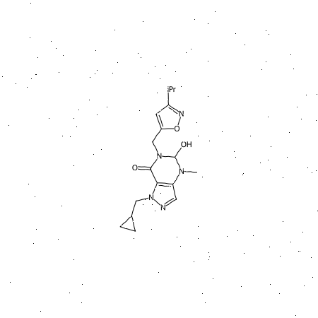 CC(C)c1cc(CN2C(=O)c3c(cnn3CC3CC3)N(C)C2O)on1